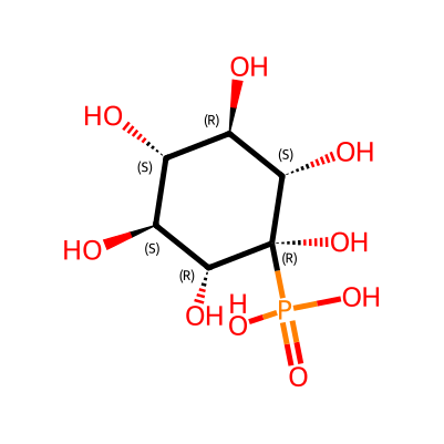 O=P(O)(O)[C@@]1(O)[C@H](O)[C@@H](O)[C@H](O)[C@@H](O)[C@@H]1O